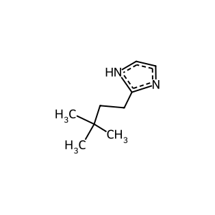 CC(C)(C)CCc1ncc[nH]1